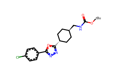 CC(C)(C)OC(=O)NC[C@H]1CC[C@H](c2nnc(-c3ccc(Cl)cc3)o2)CC1